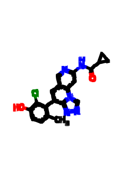 Cc1ccc(O)c(Cl)c1-c1cc2cnc(NC(=O)C3CC3)cc2n2cnnc12